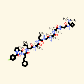 CCCC(NC(=O)C(C)(C)NC(=O)C[C@H](CC(C)C)NC(=O)C(CCC1CCCCC1)NC(=O)[C@@H]1CCCN1C(=O)c1ccc(F)cc1)C(=O)NCC(=O)NC(C)(C)C(=O)NC(C)(C)C(=O)NCCC(=O)NC1(CN(C)C)CCC1